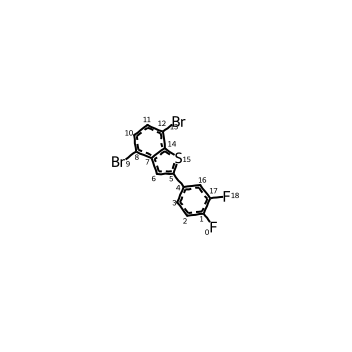 Fc1ccc(-c2cc3c(Br)ccc(Br)c3s2)cc1F